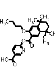 CCCCOc1cc2c(cc1C(=O)Oc1ccc(C(=O)O)cn1)C(C)(C)CCC2(C)C